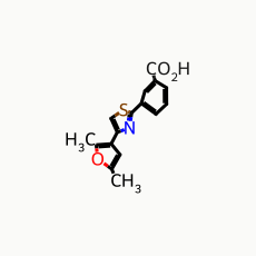 Cc1cc(-c2csc(-c3cccc(C(=O)O)c3)n2)c(C)o1